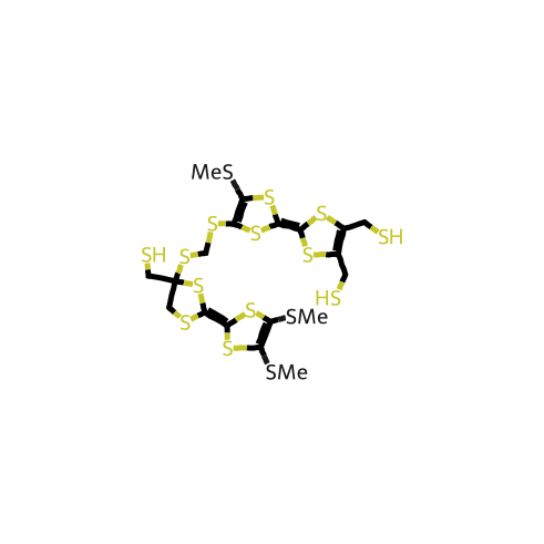 CSC1=C(SC)SC(=C2SCC(CS)(SCSC3=C(SC)SC(=C4SC(CS)=C(CS)S4)S3)S2)S1